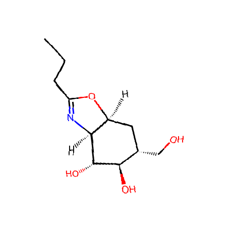 CCCC1=N[C@@H]2[C@@H](O)[C@H](O)[C@@H](CO)C[C@@H]2O1